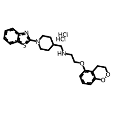 Cl.Cl.c1cc(OCCNCC2CCN(c3nc4ccccc4s3)CC2)c2c(c1)OOCC2